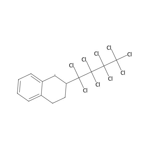 ClC(Cl)(Cl)C(Cl)(Cl)C(Cl)(Cl)C(Cl)(Cl)C1[CH]c2ccccc2CC1